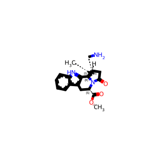 COC(=O)[C@@H]1Cc2c([nH]c3ccccc23)[C@@]23C[C@H](C)[C@@H](CN)[C@@H]2CC(=O)N13